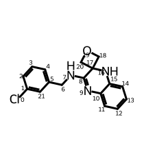 Clc1cccc(CNC2=Nc3ccccc3NC23COC3)c1